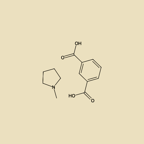 CN1CCCC1.O=C(O)c1cccc(C(=O)O)c1